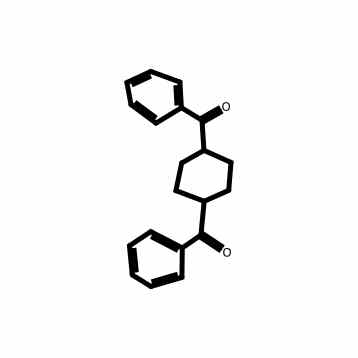 O=C(c1ccccc1)C1CCC(C(=O)c2ccccc2)CC1